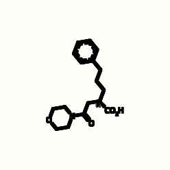 O=C(O)[C@H](CCCc1ccccc1)CC(=O)N1CCOCC1